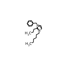 CCCCCC[n+]1ccn(Cc2ccccc2)c1CCC